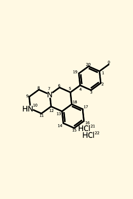 Cc1ccc(C2CN3CCNCC3c3ccccc32)cc1.Cl.Cl